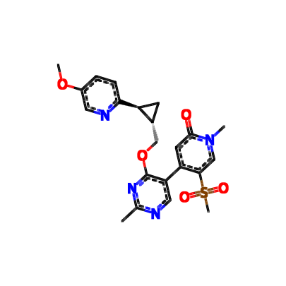 COc1ccc([C@H]2C[C@@H]2COc2nc(C)ncc2-c2cc(=O)n(C)cc2S(C)(=O)=O)nc1